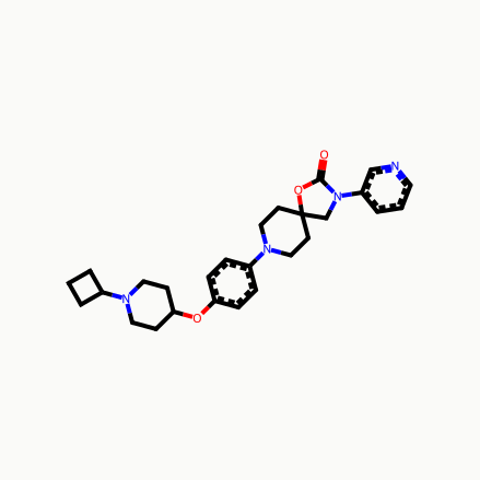 O=C1OC2(CCN(c3ccc(OC4CCN(C5CCC5)CC4)cc3)CC2)CN1c1cccnc1